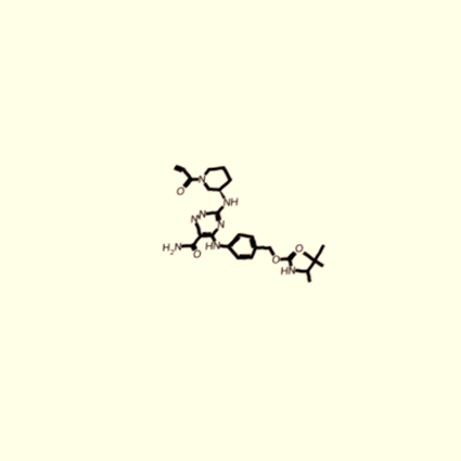 C=CC(=O)N1CCC[C@@H](Nc2nnc(C(N)=O)c(Nc3ccc(COC(=O)NC(C)C(C)(C)C)cc3)n2)C1